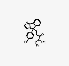 CCN(CC(C)C)C(=O)CCC1(c2ccc(Br)cc2)c2ccccc2-c2nccn21